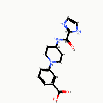 O=C(O)c1cccc(N2CCC(NC(=O)c3ncc[nH]3)CC2)c1